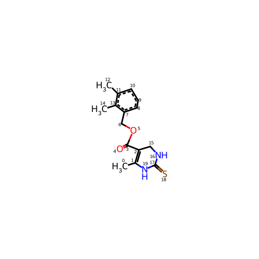 CC1=C(C(=O)OCc2cccc(C)c2C)CNC(=S)N1